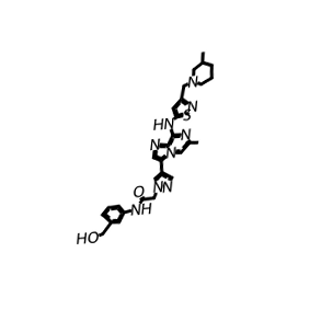 Cc1cn2c(-c3cnn(CC(=O)Nc4cccc(CO)c4)c3)cnc2c(Nc2cc(CN3CCCC(C)C3)ns2)n1